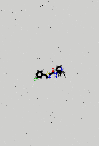 C[C@H]1[C@H](NC(=O)c2ncc(-c3cccc(Cl)c3)s2)C2CCN1CC2